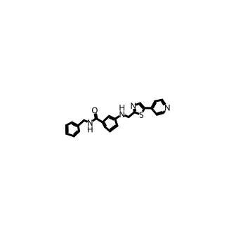 O=C(NCc1ccccc1)c1cccc(NCc2ncc(-c3ccncc3)s2)c1